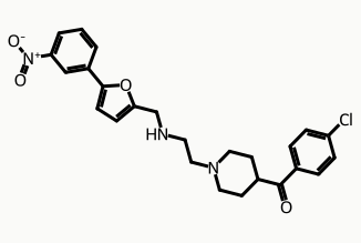 O=C(c1ccc(Cl)cc1)C1CCN(CCNCc2ccc(-c3cccc([N+](=O)[O-])c3)o2)CC1